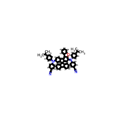 CC(C)c1ccc(N(c2ccc(C#N)cc2)c2ccc3c(c2)C2(c4ccccc4-c4ccccc42)c2cc(N(c4ccc(C#N)cc4)c4ccc(C(C)C)cc4)c4oc5ccccc5c4c2-3)cc1